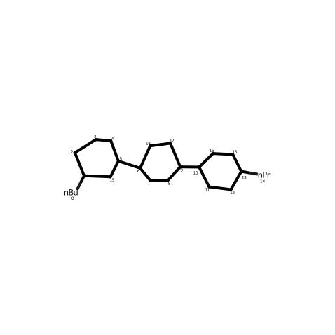 CCCCC1CCCC(C2CCC(C3CCC(CCC)CC3)CC2)C1